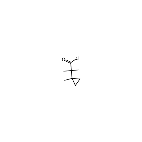 CC1(C(C)(C)C(=O)Cl)CC1